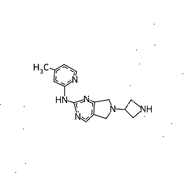 Cc1ccnc(Nc2ncc3c(n2)CN(C2CNC2)C3)c1